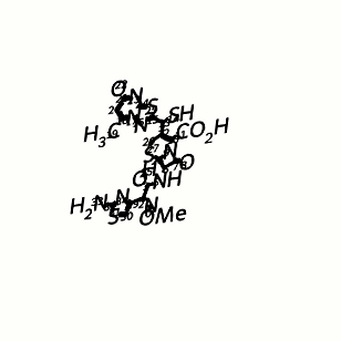 CON=C(C(=O)N[C@@H]1C(=O)N2C(C(=O)O)=C(C(S)c3nn4c(C)cc(=O)nc4s3)CS[C@H]12)c1csc(N)n1